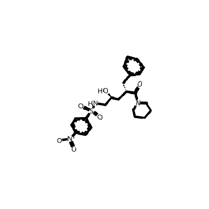 O=C([C@@H](Cc1ccccc1)C[C@H](O)CNS(=O)(=O)c1ccc([N+](=O)[O-])cc1)N1CCCCC1